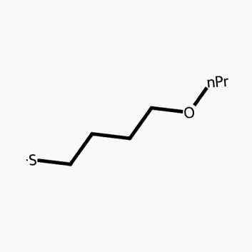 CCCOCCCC[S]